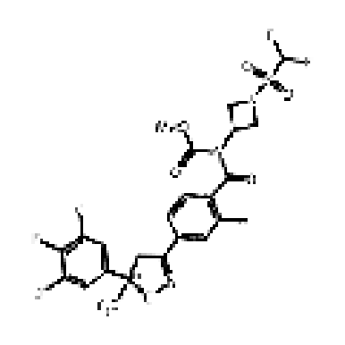 COC(=O)N(C(=O)c1ccc(C2=NO[C@@](c3cc(Cl)c(F)c(Cl)c3)(C(F)(F)F)C2)cc1C)C1CN(S(=O)(=O)C(F)F)C1